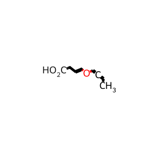 CC=C=COC=CCC(=O)O